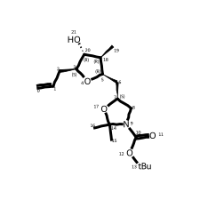 C=CC[C@@H]1O[C@H](C[C@H]2CN(C(=O)OC(C)(C)C)C(C)(C)O2)[C@H](C)[C@H]1O